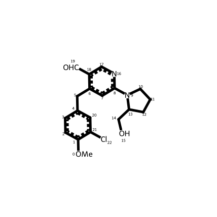 COc1ccc(Cc2cc(N3CCCC3CO)ncc2C=O)cc1Cl